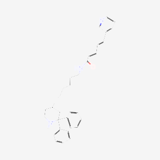 CN1CCC(CCCCCCNC(=O)C=CC=Cc2cccnc2)CC1(c1ccccc1)c1ccccc1